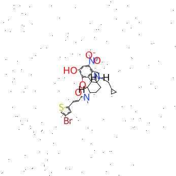 CN(C(=O)/C=C/c1cc(Br)cs1)[C@H]1CC[C@H]2[C@H]3Cc4c([N+](=O)[O-])cc(O)c5c4[C@@]2(CCN3CC2CC2)[C@H]1O5